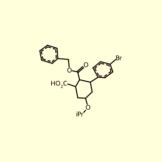 CC(C)OC1CC(C(=O)O)C(C(=O)OCc2ccccc2)C(c2ccc(Br)cc2)C1